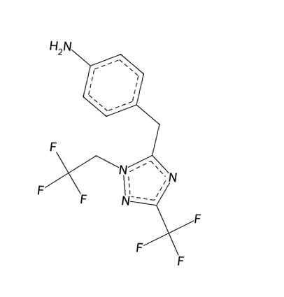 Nc1ccc(Cc2nc(C(F)(F)F)nn2CC(F)(F)F)cc1